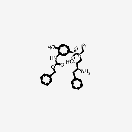 CC(C)CN(C[C@@H](O)[C@@H](N)Cc1ccccc1)S(=O)(=O)c1ccc(O)c(NC(=O)OCc2ccccc2)c1